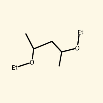 CCO[C](C)CC(C)OCC